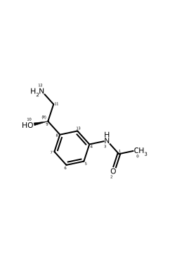 CC(=O)Nc1cccc([C@@H](O)CN)c1